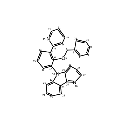 c1ccc(COc2c(-c3ccccn3)cccc2-n2c3ccccc3c3ncccc32)cc1